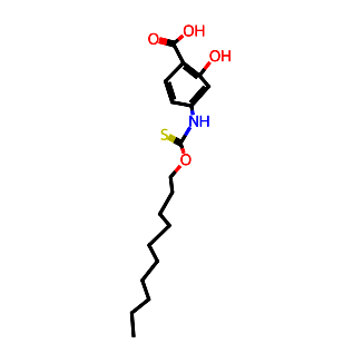 CCCCCCCCCCOC(=S)Nc1ccc(C(=O)O)c(O)c1